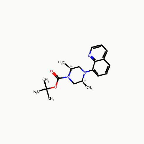 C[C@H]1CN(c2cccc3cccnc23)[C@@H](C)CN1C(=O)OC(C)(C)C